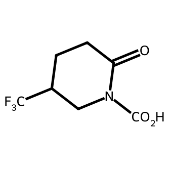 O=C(O)N1CC(C(F)(F)F)CCC1=O